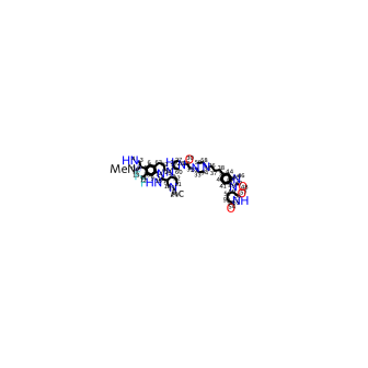 CN/C=C(\C=N)c1cc2c(cc1C(F)F)N(C(=N)C1CN(C(C)=O)CCC1NC1CCN(C(=O)CN3CCN(CCCc4ccc5c(c4)n(C)c(=O)n5C4CCC(=O)NC4=O)CC3)C1)CCC2